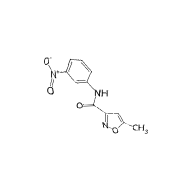 Cc1cc(C(=O)Nc2cccc([N+](=O)[O-])c2)no1